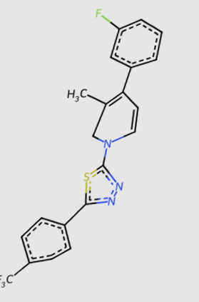 CC1=C(c2cccc(F)c2)C=CN(c2nnc(-c3ccc(C(F)(F)F)cc3)s2)C1